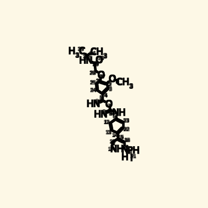 COc1cc(C(=N)OC(=N)Nc2ccc(/C(C=N)=C/NPI)cc2)ccc1OCC(=O)NC(C)C